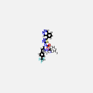 CC(C)(C)OC(=O)N(CC(N)Cc1ccc(C(F)(F)F)cc1)c1nnc(-c2cccc3cnncc23)s1